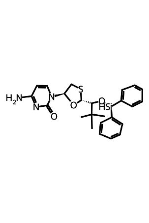 CC(C)(C)C(O[SiH](c1ccccc1)c1ccccc1)[C@@H]1O[C@@H](n2ccc(N)nc2=O)CS1